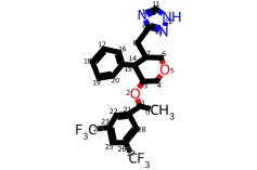 CC(OC1COCC(Cc2nc[nH]n2)C1c1ccccc1)c1cc(C(F)(F)F)cc(C(F)(F)F)c1